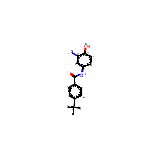 CC(C)(C)c1ccc(C(=O)Nc2ccc(O)c(N)c2)cc1